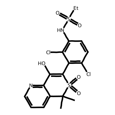 CCS(=O)(=O)Nc1ccc(Cl)c(C2=C(O)c3ncccc3C(C)(C)S2(=O)=O)c1Cl